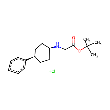 CC(C)(C)OC(=O)CN[C@H]1CC[C@@H](c2ccccc2)CC1.Cl